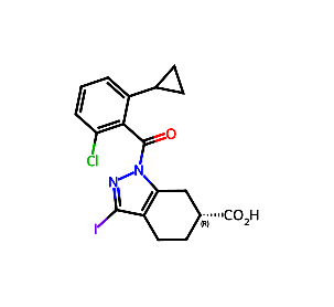 O=C(O)[C@@H]1CCc2c(I)nn(C(=O)c3c(Cl)cccc3C3CC3)c2C1